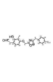 Cc1c(OCc2nc(Cc3ccc(I)cc3)no2)ccc(CC=O)c1O